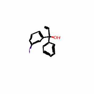 C=CC(O)(c1ccccc1)c1cccc(I)c1